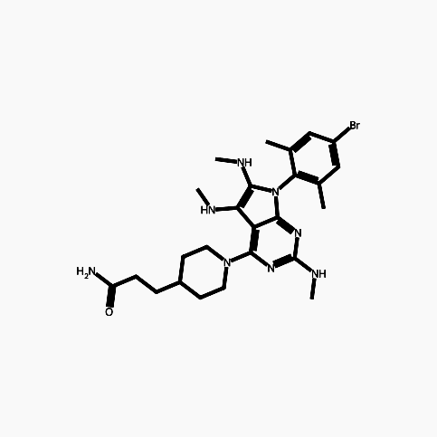 CNc1nc(N2CCC(CCC(N)=O)CC2)c2c(NC)c(NC)n(-c3c(C)cc(Br)cc3C)c2n1